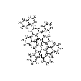 c1ccc(-c2c3cc(-c4cccc5ccccc45)ccc3c(N(c3ccccc3)c3ccc4c(c3)c3ccccc3n4-c3ccccc3)c3cc(-c4cccc5ccccc45)ccc23)cc1